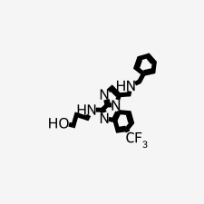 OCCCNc1nc2cc(C(F)(F)F)ccc2n2c(CNCc3ccccc3)cnc12